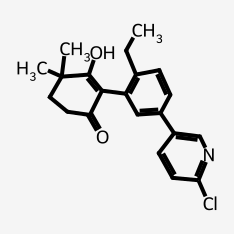 CCc1ccc(-c2ccc(Cl)nc2)cc1C1=C(O)C(C)(C)CCC1=O